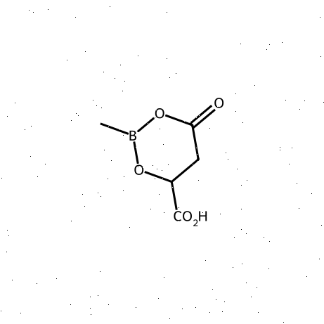 CB1OC(=O)CC(C(=O)O)O1